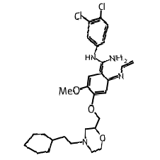 C=C/N=C1/C=C(OCC2CN(CCC3CCCCC3)CCO2)C(OC)=C/C1=C(/N)Nc1ccc(Cl)c(Cl)c1